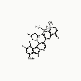 CNc1cc(F)c(F)c2c1[nH]c1ncc(-c3cnc4c(c3)c(=O)ccn4C)c(N3C[C@@H](F)C[C@H]3CN(C)C)c12